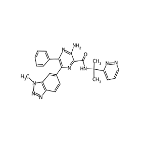 Cn1nnc2ccc(-c3nc(C(=O)NC(C)(C)c4cccnn4)c(N)nc3-c3ccccc3)cc21